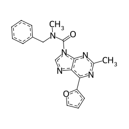 Cc1nc(-c2ccco2)c2ncn(C(=O)N(C)Cc3ccccc3)c2n1